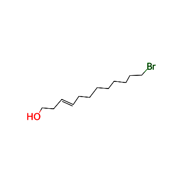 OCC/C=C/CCCCCCCCBr